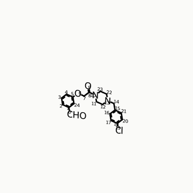 O=Cc1cccc(OCC(=O)N2CCN(Cc3ccc(Cl)cc3)CC2)c1